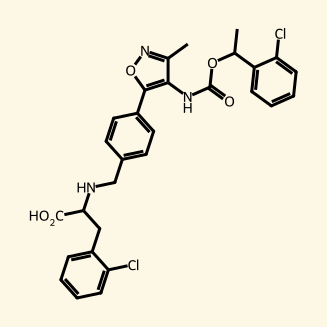 Cc1noc(-c2ccc(CNC(Cc3ccccc3Cl)C(=O)O)cc2)c1NC(=O)OC(C)c1ccccc1Cl